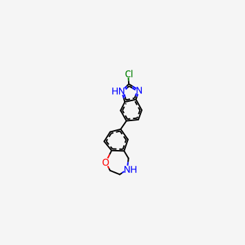 Clc1nc2ccc(-c3ccc4c(c3)CNCCO4)cc2[nH]1